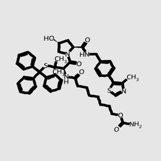 Cc1ncsc1-c1ccc(CNC(=O)[C@@H]2C[C@@H](O)CN2C(=O)[C@@H](NC(=O)CCCCCCCOC(N)=O)C(C)(C)SC(c2ccccc2)(c2ccccc2)c2ccccc2)cc1